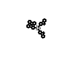 CC1(C)c2ccccc2-c2ccc(-c3nc(-c4ccc5c(c4)C(C)(C)c4ccccc4-5)nc(-c4ccc5c(c4)C4(c6ccccc6-c6ccccc64)c4ccccc4-5)n3)cc21